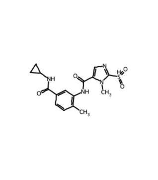 Cc1ccc(C(=O)NC2CC2)cc1NC(=O)c1cnc([SH](=O)=O)n1C